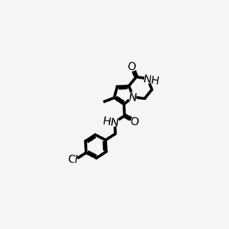 Cc1cc2n(c1C(=O)NCc1ccc(Cl)cc1)CCNC2=O